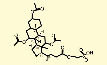 CC(=O)OC1CC[C@@]2(C)C(C1)CC(OC(C)=O)[C@H]1[C@@H]3CC[C@H]([C@H](C)CCC(=O)OCCS(=O)(=O)O)C3(C)C(OC(C)=O)C[C@@H]12